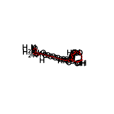 CO[C@H]1C[C@@H]2CC[C@@H](C)[C@@](O)(O2)C(=O)C(=O)N2CCCC[C@H]2C(=O)O[C@H]([C@H](C)C[C@@H]2CC[C@@H](OC(=O)NCCOCCOCCOCCOCCOCCOCCOCCOCCC(=O)NCc3ccc(Cn4nc(-c5ccc6oc(N)nc6c5)c5c(N)ncnc54)cc3)[C@H](OC)C2)C[C@@H](OC)[C@H](C)/C=C(\C)[C@@H](O)[C@@H](O)C(=O)[C@H](C)C[C@H](C)/C=C/C=C/C=C/1C